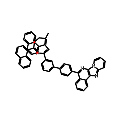 C\C1=C(c2cccc3ccccc23)/C=C(c2cccc(-c3ccc(-c4nc5c(nc6ccccn65)c5ccccc45)cc3)c2)\N=C(\c2cccc3ccccc23)CC1